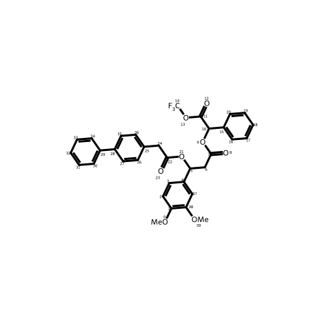 COc1ccc(C(CC(=O)OC(C(=O)OC(F)(F)F)c2ccccc2)OC(=O)Cc2ccc(-c3ccccc3)cc2)cc1OC